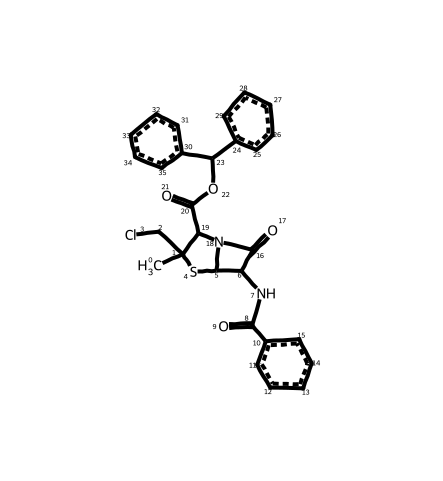 CC1(CCl)SC2C(NC(=O)c3ccccc3)C(=O)N2C1C(=O)OC(c1ccccc1)c1ccccc1